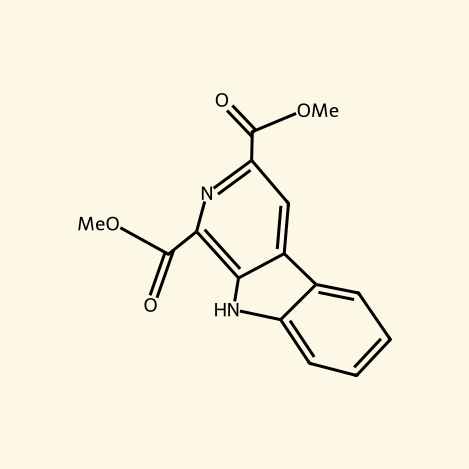 COC(=O)c1cc2c([nH]c3ccccc32)c(C(=O)OC)n1